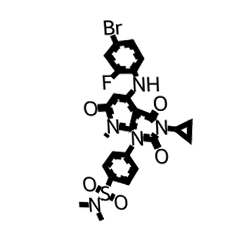 CN(C)S(=O)(=O)c1ccc(-n2c(=O)n(C3CC3)c(=O)c3c(Nc4ccc(Br)cc4F)cc(=O)n(C)c32)cc1